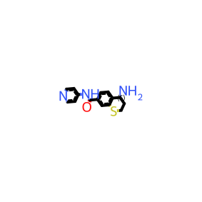 N[C@H]1CCSc2cc(C(=O)Nc3ccncc3)ccc21